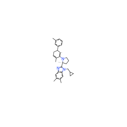 CC1=CCC(c2cccc(C)c2)[C]=C1N1CCC[C@@]1(C)c1nc2cc(C)c(C)cc2n1CC1CC1